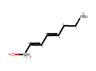 CCCCCC/C=C/C=C/[SiH2][O]